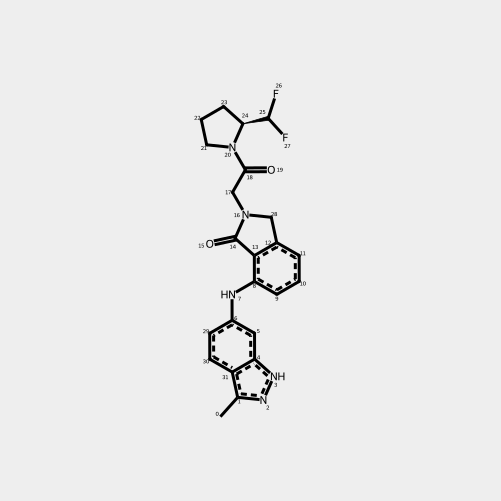 Cc1n[nH]c2cc(Nc3cccc4c3C(=O)N(CC(=O)N3CCC[C@H]3C(F)F)C4)ccc12